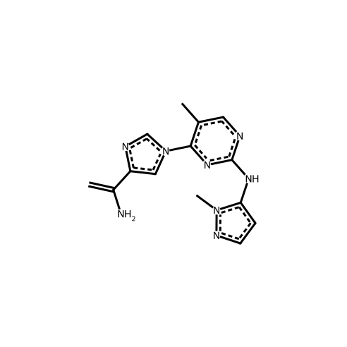 C=C(N)c1cn(-c2nc(Nc3ccnn3C)ncc2C)cn1